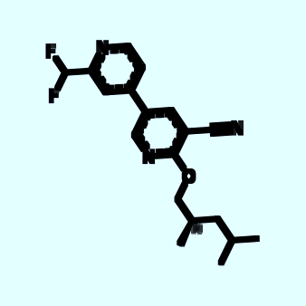 CC(C)C[C@@H](C)COc1ncc(-c2ccnc(C(F)F)c2)cc1C#N